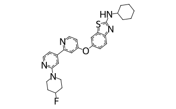 FC1CCN(c2cc(-c3cc(Oc4ccc5nc(NC6CCCCC6)sc5c4)ccn3)ccn2)CC1